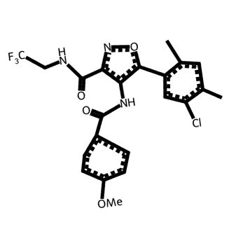 COc1ccc(C(=O)Nc2c(C(=O)NCC(F)(F)F)noc2-c2cc(Cl)c(C)cc2C)cc1